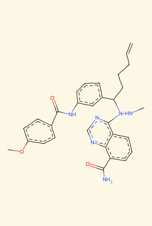 C=CCCCC(c1cccc(NC(=O)c2ccc(OC)cc2)c1)N(NC)c1ncnc2c(C(N)=O)cccc12